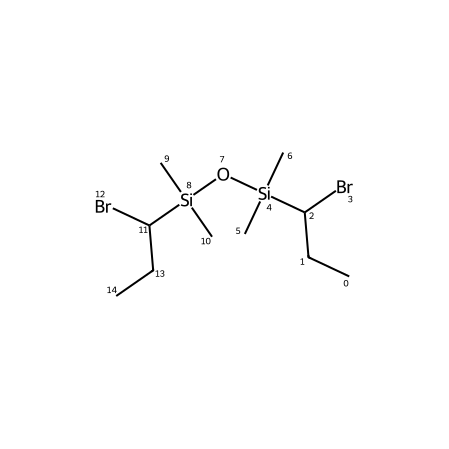 CCC(Br)[Si](C)(C)O[Si](C)(C)C(Br)CC